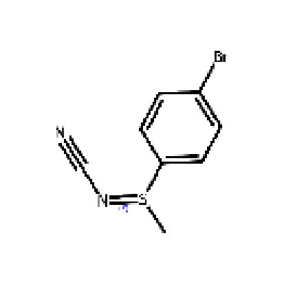 C/S(=N/C#N)c1ccc(Br)cc1